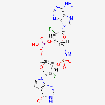 Nc1ncnc2c1ncn2[C@@H]1O[C@@H]2CNS(=O)(=O)O[C@H]3[C@H](F)[C@H](n4ccc5c(=O)[nH]cnc54)O[C@@H]3COP(=O)(O)O[C@H]2[C@H]1F